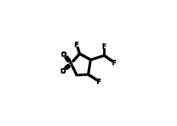 O=S1(=O)CC(F)C(C(F)F)C1F